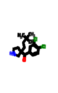 CC(C)(C)CCC1(C(=O)c2ccc(Cl)c(Cl)c2)CCNC1